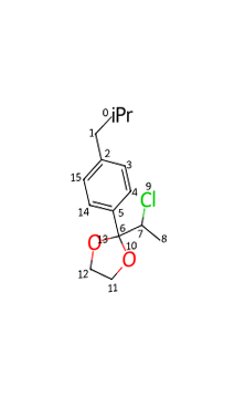 CC(C)Cc1ccc(C2(C(C)Cl)OCCO2)cc1